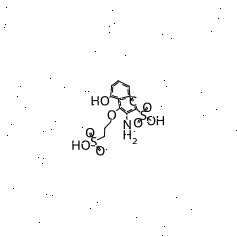 Nc1c(S(=O)(=O)O)cc2cccc(O)c2c1OCCCS(=O)(=O)O